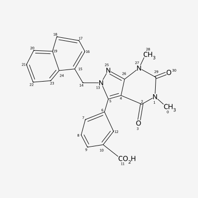 Cn1c(=O)c2c(-c3cccc(C(=O)O)c3)n(Cc3cccc4ccccc34)nc2n(C)c1=O